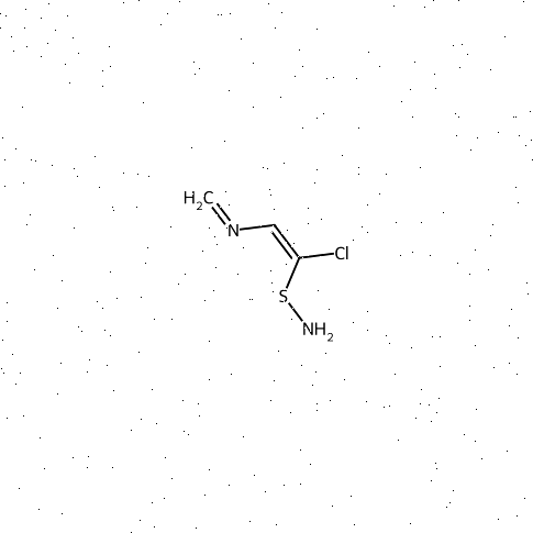 C=N/C=C(/Cl)SN